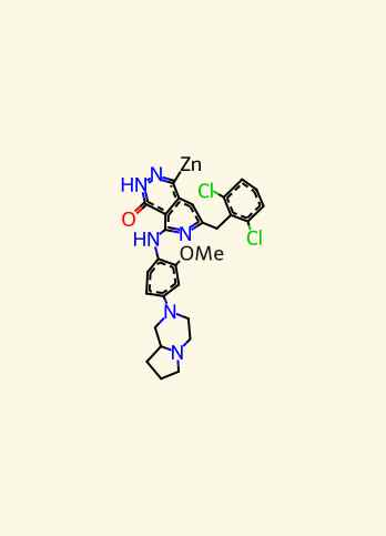 COc1cc(N2CCN3CCCC3C2)ccc1Nc1nc(Cc2c(Cl)cccc2Cl)cc2[c]([Zn])n[nH]c(=O)c12